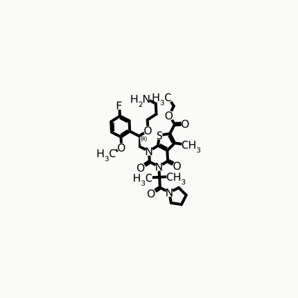 CCOC(=O)c1sc2c(c1C)c(=O)n(C(C)(C)C(=O)N1CCCC1)c(=O)n2C[C@H](OCCCN)c1cc(F)ccc1OC